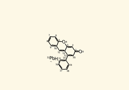 O=c1cc2oc3ccccc3cc-2c(-c2ccccc2)c1.[PbH2]